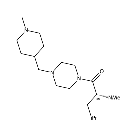 CN[C@H](CC(C)C)C(=O)N1CCN(CC2CCN(C)CC2)CC1